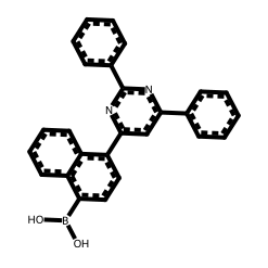 OB(O)c1ccc(-c2cc(-c3ccccc3)nc(-c3ccccc3)n2)c2ccccc12